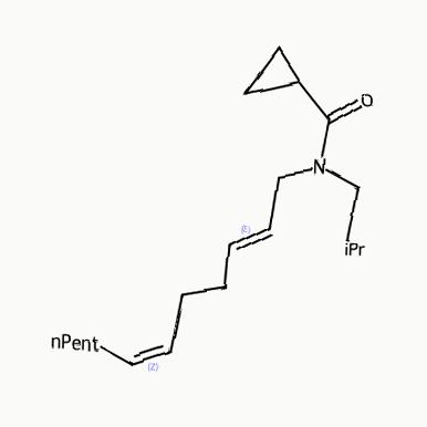 CCCCC/C=C\CC/C=C/CN(CC(C)C)C(=O)C1CC1